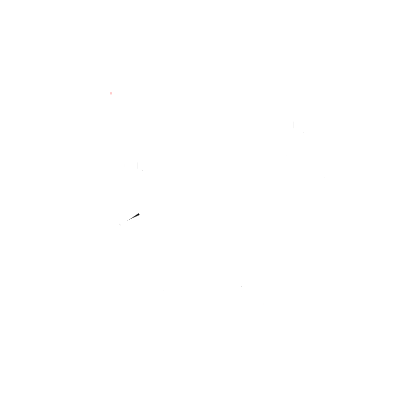 C=C(C)c1ccc([C@H]2C[C@@]3(C)[C@@H](CC[C@@]3(O)/C=C\CO)[C@@H]3CCC4=CC(=O)CCC4=C32)cc1